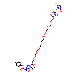 [CH2]c1ccc(NC(=O)[C@@H](C)NC(=O)[C@H](NC(=O)CCOCCOCCOCCOCCOCCOCCOCCOCCC(=O)NC(=O)CCN2C(=O)C=CC2=O)C(C)C)cc1